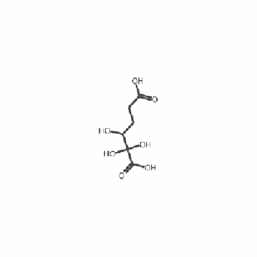 O=C(O)CCC(O)C(O)(O)C(=O)O